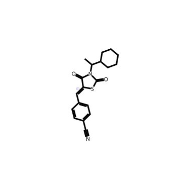 CC(C1CCCCC1)N1C(=O)S/C(=C\c2ccc(C#N)cc2)C1=O